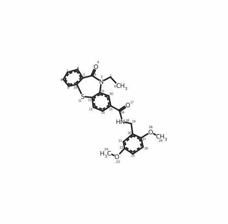 CCN1C(=O)c2ccccc2Sc2ccc(C(=O)NCc3cc(OC)ccc3OC)cc21